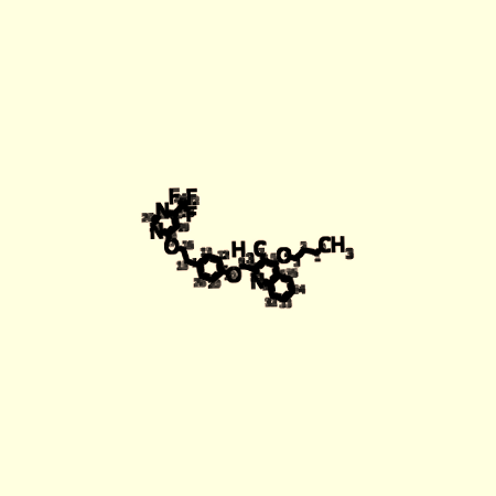 CCCCOc1c(C)c(COc2ccc(CCOc3cc(C(F)(F)F)ncn3)cc2)nc2ccccc12